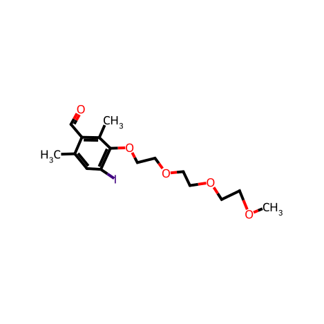 COCCOCCOCCOc1c(I)cc(C)c(C=O)c1C